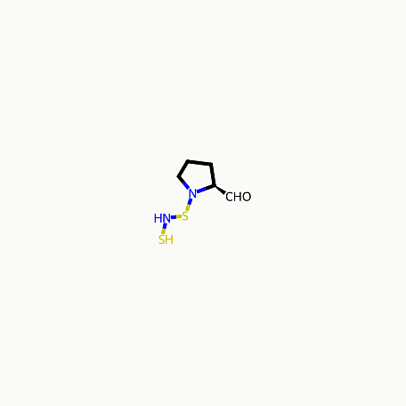 O=C[C@@H]1CCCN1SNS